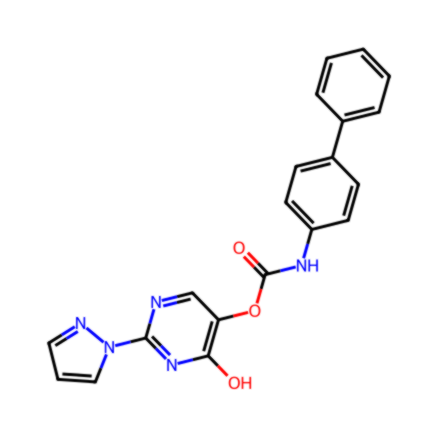 O=C(Nc1ccc(-c2ccccc2)cc1)Oc1cnc(-n2cccn2)nc1O